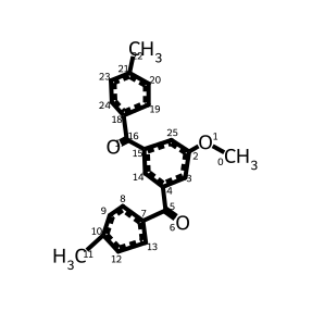 COc1cc(C(=O)c2ccc(C)cc2)cc(C(=O)c2ccc(C)cc2)c1